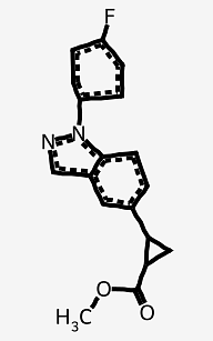 COC(=O)C1CC1c1ccc2c(cnn2-c2ccc(F)cc2)c1